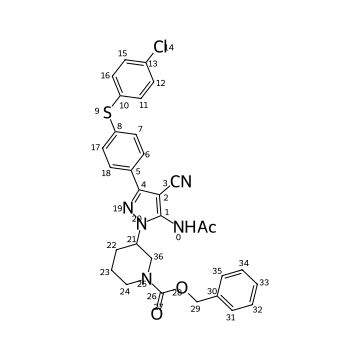 CC(=O)Nc1c(C#N)c(-c2ccc(Sc3ccc(Cl)cc3)cc2)nn1C1CCCN(C(=O)OCc2ccccc2)C1